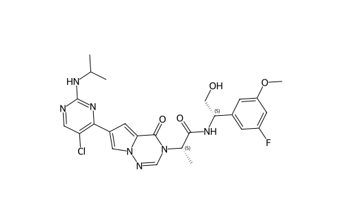 COc1cc(F)cc([C@@H](CO)NC(=O)[C@H](C)n2cnn3cc(-c4nc(NC(C)C)ncc4Cl)cc3c2=O)c1